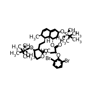 CCC(Oc1c(Br)cccc1Br)C(=O)O[C@H]1C[C@H](O[Si](C)(C)C(C)(C)C)C=C2C=C[C@H](C)[C@H](CCC3C(=O)OCCC3O[Si](C)(C)C(C)(C)C)[C@H]21